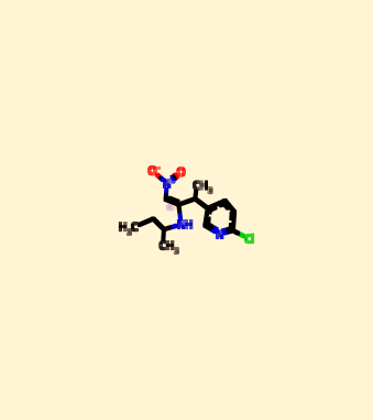 CCC(C)N/C(=C/[N+](=O)[O-])C(C)c1ccc(Cl)nc1